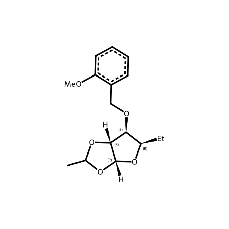 CC[C@H]1O[C@@H]2OC(C)O[C@@H]2[C@H]1OCc1ccccc1OC